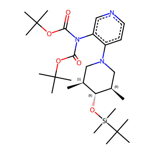 C[C@@H]1CN(c2ccncc2N(C(=O)OC(C)(C)C)C(=O)OC(C)(C)C)C[C@H](C)[C@H]1O[Si](C)(C)C(C)(C)C